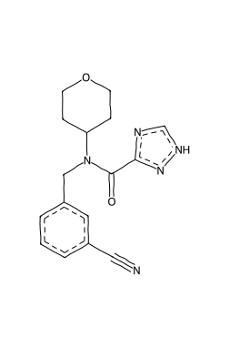 N#Cc1cccc(CN(C(=O)c2nc[nH]n2)C2CCOCC2)c1